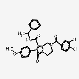 COc1ccc(-n2c(C(=O)NC(C)c3ccccc3)c3n(c2=O)CCN(C(=O)c2ccc(Cl)c(Cl)c2)C3)cc1